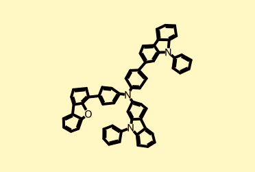 c1ccc(-n2c3ccccc3c3ccc(-c4ccc(N(c5ccc(-c6cccc7c6oc6ccccc67)cc5)c5ccc6c7ccccc7n(-c7ccccc7)c6c5)cc4)cc32)cc1